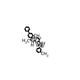 Cc1cccc(S(=O)(=O)Nc2ccnc(NC(C)C3(F)C=CC(c4ccccc4)=CC3C)n2)c1